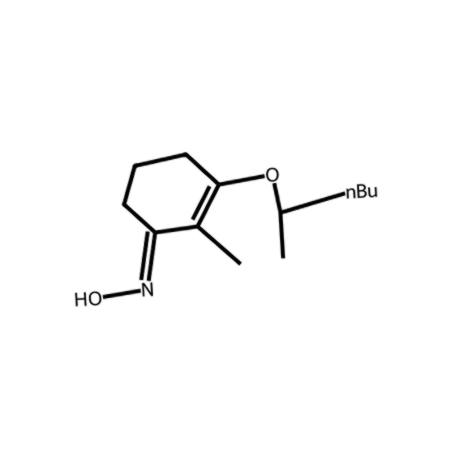 CCCCC(C)OC1=C(C)C(=NO)CCC1